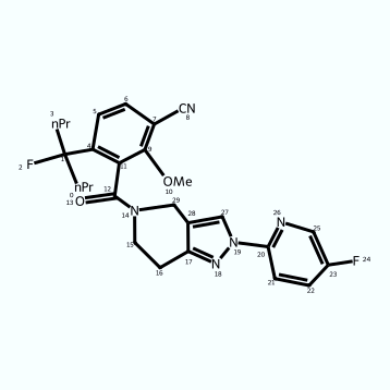 CCCC(F)(CCC)c1ccc(C#N)c(OC)c1C(=O)N1CCc2nn(-c3ccc(F)cn3)cc2C1